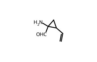 C=CC1CC1(N)C=O